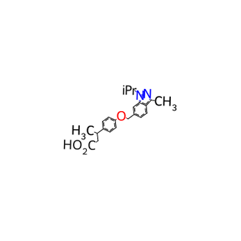 Cc1nn(C(C)C)c2cc(COc3ccc(C(C)CC(=O)O)cc3)ccc12